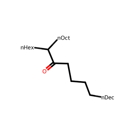 CCCCCCCCCCCCCCC(=O)C(CCCCCC)CCCCCCCC